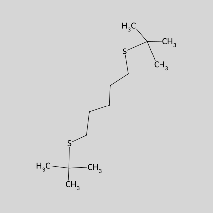 CC(C)(C)SCCCCCSC(C)(C)C